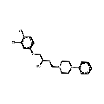 OC(CCN1CCN(c2ccccc2)CC1)COc1ccc(Cl)c(Cl)c1